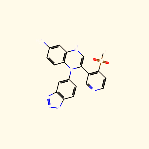 CS(=O)(=O)c1ccncc1C1=CNc2cc(N)ccc2N1c1ccc2[nH]nnc2c1